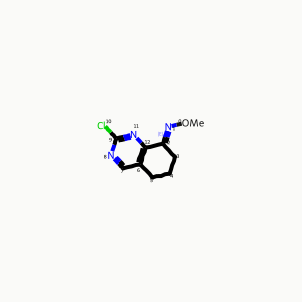 CO/N=C1\CCCc2cnc(Cl)nc21